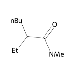 CCCC[C](CC)C(=O)NC